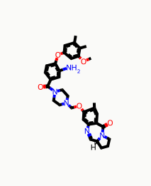 COc1cc(Oc2ccc(C(=O)N3CCN(COc4cc5c(cc4C)C(=O)N4CCC[C@H]4C=N5)CC3)cc2N)cc(C)c1C